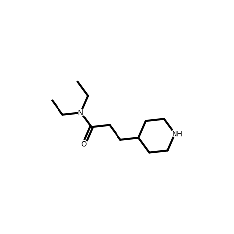 CCN(CC)C(=O)CCC1CCNCC1